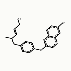 CC(C=CCO)Oc1ccc(Oc2cnc3cc(Br)ccc3n2)cc1